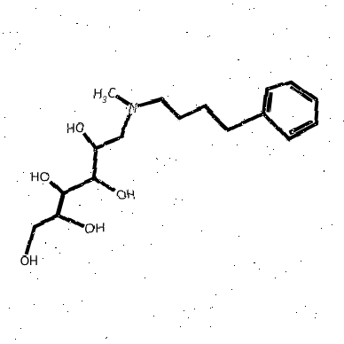 CN(CCCCc1ccccc1)CC(O)C(O)C(O)C(O)CO